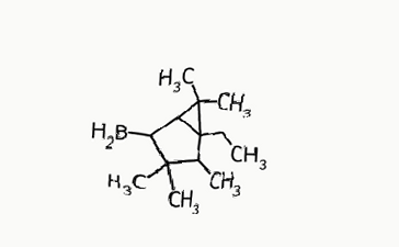 BC1C2C(C)(C)C2(CC)C(C)C1(C)C